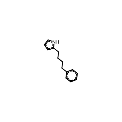 c1ccc(CCCCc2ccc[nH]2)cc1